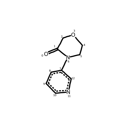 O=C1COCCN1c1cccnc1